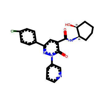 O=C(N[C@@H]1CCCC[C@@H]1O)c1cc(-c2ccc(Cl)cc2)nn(-c2cccnc2)c1=O